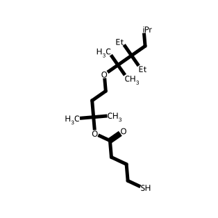 CCC(CC)(CC(C)C)C(C)(C)OCCC(C)(C)OC(=O)CCCS